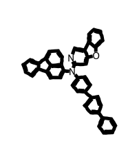 c1ccc(-c2ccc(-c3ccc(N(c4cc5oc6ccccc6c5cn4)c4ccc5c6c(cccc46)-c4ccccc4-5)cc3)cc2)cc1